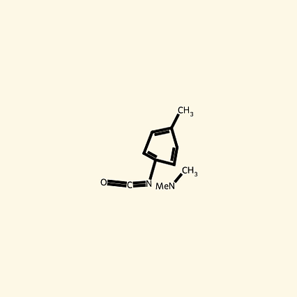 CNC.Cc1ccc(N=C=O)cc1